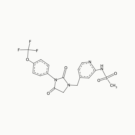 CS(=O)(=O)Nc1cc(CN2CC(=O)N(c3ccc(OC(F)(F)F)cc3)C2=O)ccn1